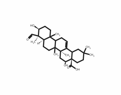 CC1(C)CC[C@@]2(C(=O)O)C(C1)C1=CCC3C4(C)CC[C@H](O)[C@](C)(C=O)[C@@H]4CCC3(C)[C@]1(C)C[C@@H]2O